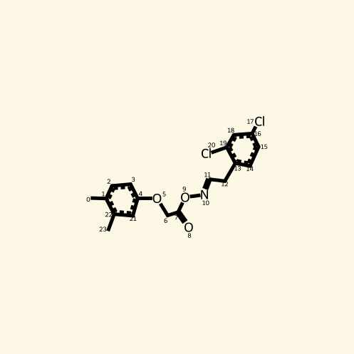 Cc1ccc(OCC(=O)O/N=C/Cc2ccc(Cl)cc2Cl)cc1C